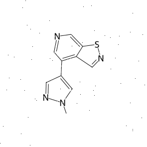 Cn1cc(-c2cncc3sncc23)cn1